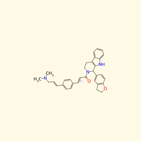 CN(C)CC=Cc1ccc(/C=C/C(=O)N2CCc3c([nH]c4ccccc34)C2c2ccc3c(c2)CCO3)cc1